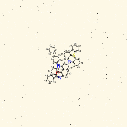 c1ccc(-c2ccc(N(c3ccccc3)c3cc(N(c4ccccc4)c4cccc5c4sc4ccccc45)cc4ccc5nc(-c6ccccc6)oc5c34)cc2)cc1